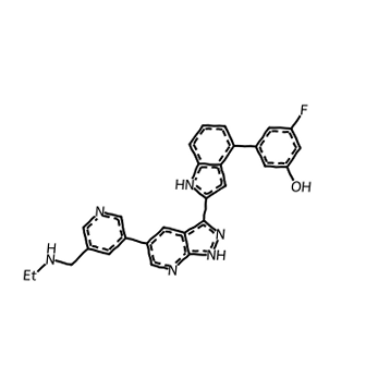 CCNCc1cncc(-c2cnc3[nH]nc(-c4cc5c(-c6cc(O)cc(F)c6)cccc5[nH]4)c3c2)c1